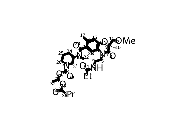 CCC(=O)NCCN1C(=O)[C@](C)(COC)Oc2cc(C)c(C(=O)N(C)[C@@H]3CCCN(C(=O)OC(C)OC(=O)C(C)C)C3)cc21